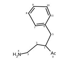 CC(=O)C(CCN)Cc1ccccc1